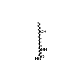 CCCCCC(O)CCCCCC=CC=CC(O)=CC=CC(=O)O